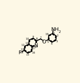 Nc1cccc(OCc2ccc3cc(F)ccc3n2)c1